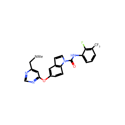 CNCc1cc(Oc2ccc3c(ccn3C(=O)Nc3cccc(C(F)(F)F)c3F)c2)ncn1